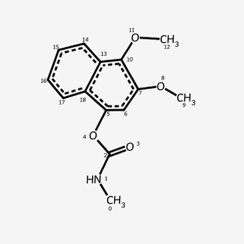 CNC(=O)Oc1cc(OC)c(OC)c2ccccc12